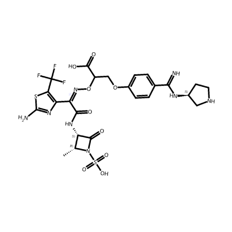 C[C@@H]1[C@H](NC(=O)/C(=N\OC(COc2ccc(C(=N)N[C@H]3CCNC3)cc2)C(=O)O)c2nc(N)sc2C(F)(F)F)C(=O)N1S(=O)(=O)O